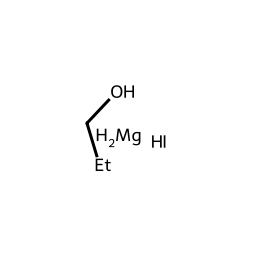 CCCO.I.[MgH2]